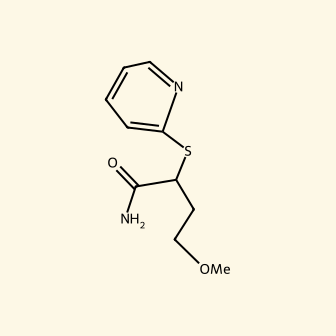 COCCC(Sc1ccccn1)C(N)=O